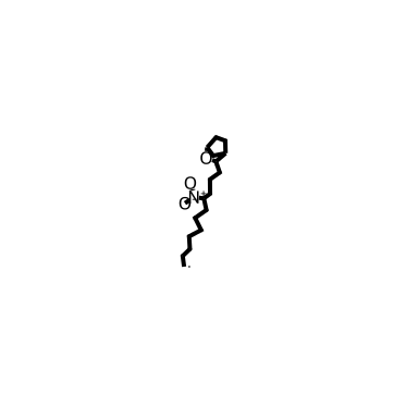 [CH2]CCCCCCC(CCC[C]1OC2CCC1C2)[N+](=O)[O-]